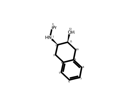 CC(C)N[C@@H]1Cc2ccccc2C[C@@H]1O